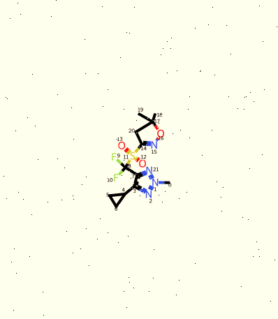 Cn1nc(C2CC2)c(C(F)(F)S(=O)(=O)C2=NOC(C)(C)C2)n1